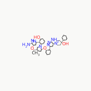 C[C@H](Oc1cc(-c2ccccc2O)nnc1N)c1ccc(Oc2ccccc2-c2cc(N3CCC(O)(c4ccccc4)CC3)c(N)nn2)nc1